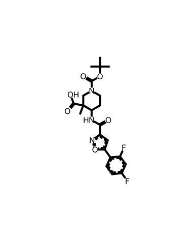 CC(C)(C)OC(=O)N1CCC(NC(=O)c2cc(-c3ccc(F)cc3F)on2)C(C)(C(=O)O)C1